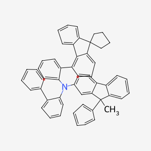 CC1(c2ccccc2)c2ccccc2-c2ccc(N(c3ccccc3-c3ccccc3)c3ccccc3-c3cccc4c3-c3ccccc3C43CCCC3)cc21